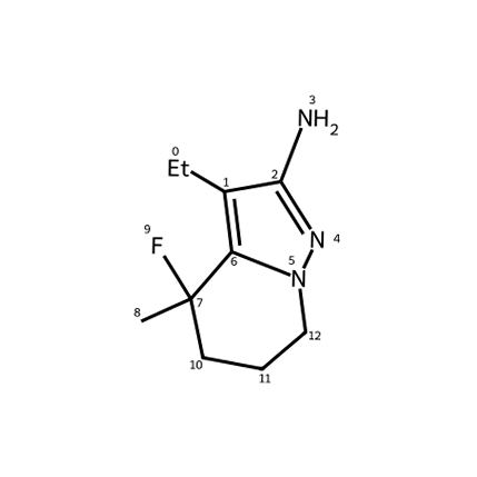 CCc1c(N)nn2c1C(C)(F)CCC2